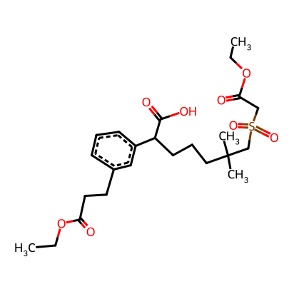 CCOC(=O)CCc1cccc(C(CCCC(C)(C)CS(=O)(=O)CC(=O)OCC)C(=O)O)c1